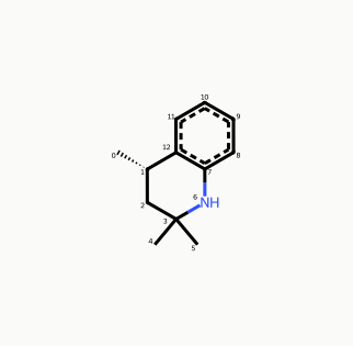 C[C@H]1CC(C)(C)Nc2ccccc21